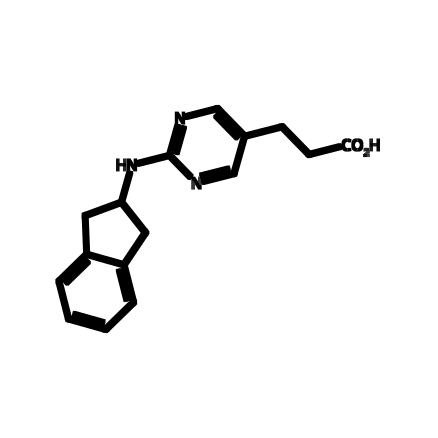 O=C(O)CCc1cnc(NC2Cc3ccccc3C2)nc1